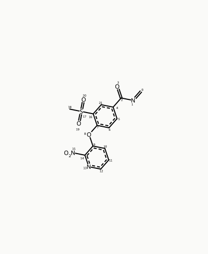 C=NC(=O)c1ccc(Oc2cccnc2[N+](=O)[O-])c(S(C)(=O)=O)c1